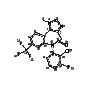 Cc1ncn(C)c1-c1ccc(C(F)(F)F)cc1N(C=O)c1cccc(F)c1Cl